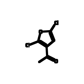 CC(=O)c1cc(Cl)oc1Cl